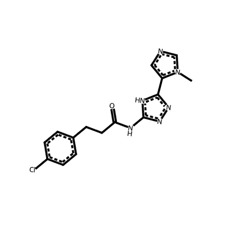 Cn1cncc1-c1nnc(NC(=O)CCc2ccc(Cl)cc2)[nH]1